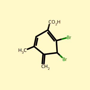 C=C1C(C)=CC(C(=O)O)=C(Br)C1Br